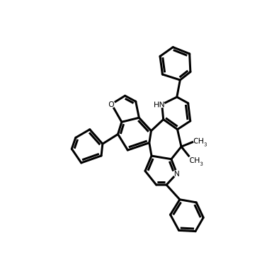 CC1(C)C2=C(NC(c3ccccc3)C=C2)c2c(cc(-c3ccccc3)c3occc23)-c2ccc(-c3ccccc3)nc21